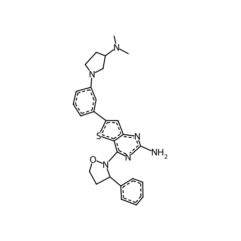 CN(C)C1CCN(c2cccc(-c3cc4nc(N)nc(N5OCCC5c5ccccc5)c4s3)c2)C1